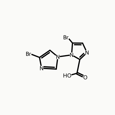 O=C(O)c1ncc(Br)n1-n1cnc(Br)c1